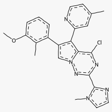 COc1cccc(-c2cn3nc(-c4nccn4C)nc(Cl)c3c2-c2cc(C)ccn2)c1C